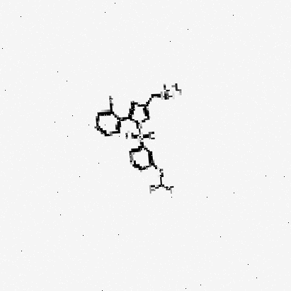 CNCc1cc(-c2ccccc2F)n(S(=O)(=O)c2cncc(SC(F)F)c2)c1